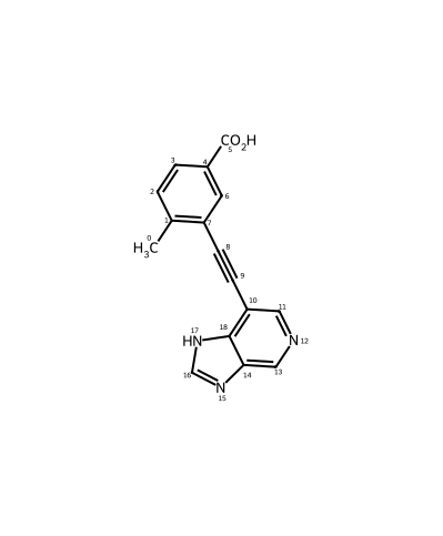 Cc1ccc(C(=O)O)cc1C#Cc1cncc2nc[nH]c12